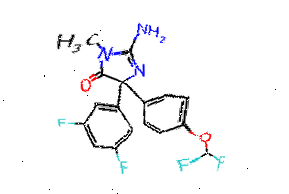 CN1C(=O)C(c2ccc(OC(F)F)cc2)(c2cc(F)cc(F)c2)N=C1N